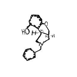 Oc1cccc2c1[C@@H]1CN(Cc3ccccc3)C[C@@H]1CO2